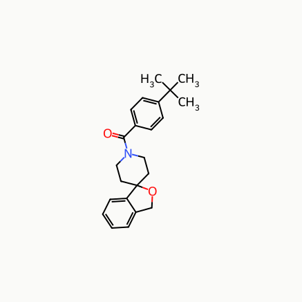 CC(C)(C)c1ccc(C(=O)N2CCC3(CC2)OCc2ccccc23)cc1